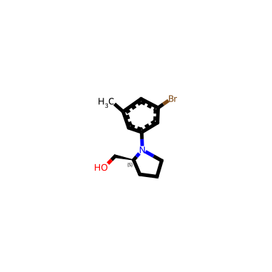 Cc1cc(Br)cc(N2CCC[C@H]2CO)c1